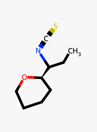 CCC(N=C=S)[C@H]1CCCCO1